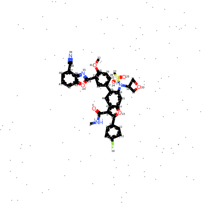 CNC(=O)c1c(-c2ccc(F)cc2)oc2cc(N(C3COC3)S(C)(=O)=O)c(-c3ccc(OC)c(-c4nc5c(C#N)cccc5o4)c3)cc12